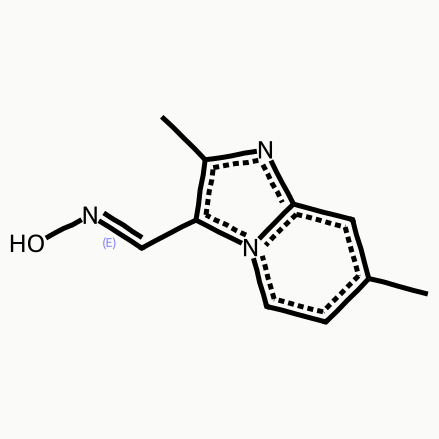 Cc1ccn2c(/C=N/O)c(C)nc2c1